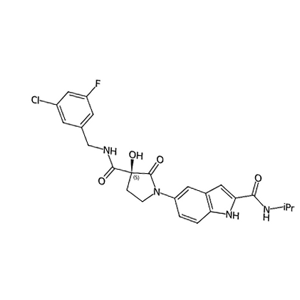 CC(C)NC(=O)c1cc2cc(N3CC[C@](O)(C(=O)NCc4cc(F)cc(Cl)c4)C3=O)ccc2[nH]1